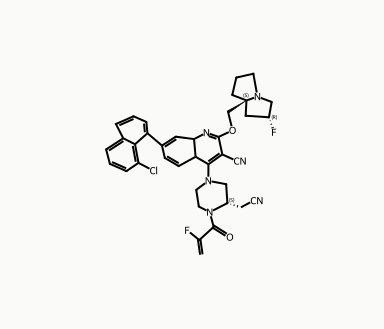 C=C(F)C(=O)N1CCN(C2=C(C#N)C(OC[C@@]34CCCN3C[C@H](F)C4)=NC3C=C(c4cccc5cccc(Cl)c45)C=CC23)C[C@@H]1CC#N